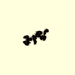 c1ccc(-c2cc(-n3c4ccccc4c4cc(-c5cc(-c6ccc7c8ccccc8n(-c8ccc9sc%10ccncc%10c9c8)c7c6)c6ccccc6c5)ccc43)nc(-c3ccccc3)n2)cc1